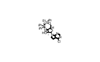 CC[Si]1(C(C)C)OC[C@H]2S[C@@H](n3ccc4c(Cl)ncnc43)[C@@](C)(O)[C@@H]2O[Si](C(C)C)(C(C)C)O1